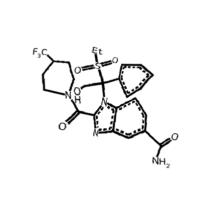 CCS(=O)(=O)C(CO)(c1ccccc1)n1c(C(=O)N2CCC(C(F)(F)F)CC2)nc2cc(C(N)=O)ccc21